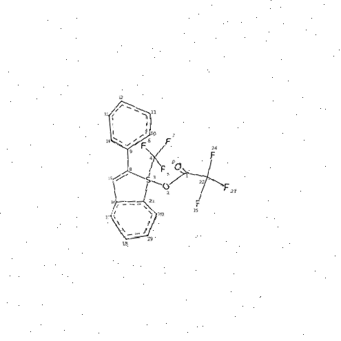 O=C(OS1(C(F)(F)F)C(c2ccccc2)=Cc2ccccc21)C(F)(F)F